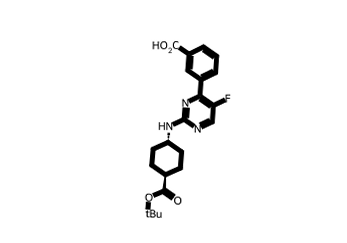 CC(C)(C)OC(=O)[C@H]1CC[C@H](Nc2ncc(F)c(-c3cccc(C(=O)O)c3)n2)CC1